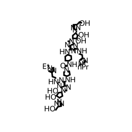 CCCn1cnc(CCNc2nc(N[C@H]3CC[C@H](NC(=O)N4CCC(Nc5nc(NCCc6cn(CC)cn6)nc6c5ncn6[C@@H]5C[C@H](n6ncc(CO)n6)[C@@H](O)[C@H]5O)CC4)CC3)c3ncn([C@@H]4C[C@H](n5ncc(CO)n5)[C@@H](O)[C@H]4O)c3n2)c1